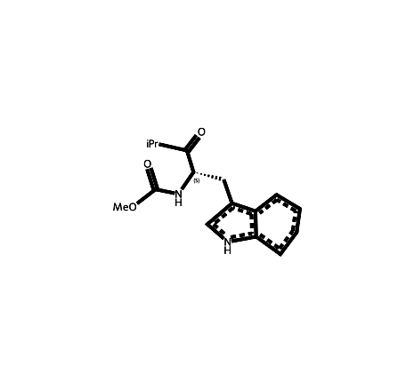 COC(=O)N[C@@H](Cc1c[nH]c2ccccc12)C(=O)C(C)C